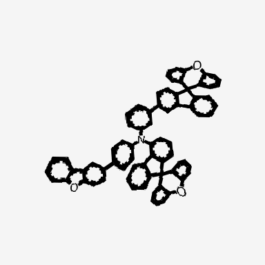 c1cc(-c2ccc3c(c2)-c2ccccc2C32c3ccccc3Oc3ccccc32)cc(N(c2ccc(-c3ccc4oc5ccccc5c4c3)cc2)c2cccc3c2-c2ccccc2C32c3ccccc3Oc3ccccc32)c1